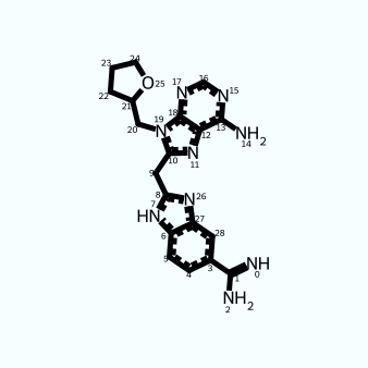 N=C(N)c1ccc2[nH]c(Cc3nc4c(N)ncnc4n3CC3CCCO3)nc2c1